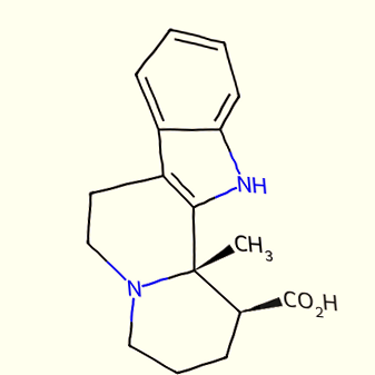 C[C@]12c3[nH]c4ccccc4c3CCN1CCC[C@@H]2C(=O)O